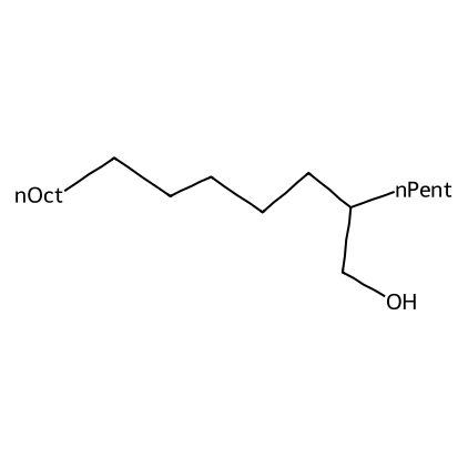 CCCCCCCCCCCCCC(CO)CCCCC